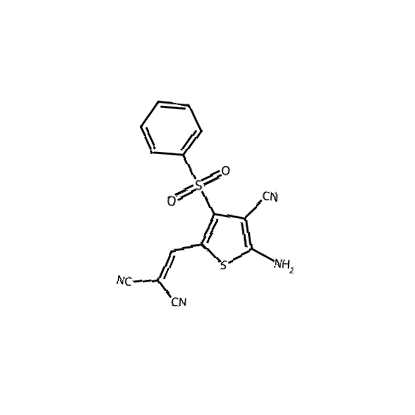 N#CC(C#N)=Cc1sc(N)c(C#N)c1S(=O)(=O)c1ccccc1